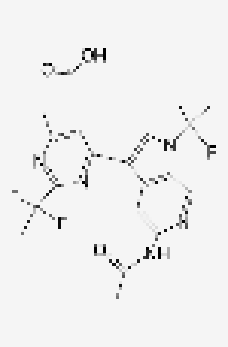 CC(=O)Nc1cc2c(-c3cc(C)nc(C(C)(F)F)n3)cn(C3(F)CC3)c2cn1.O=CO